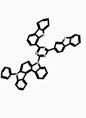 c1ccc(-n2c3ccccc3c3c4c5ccccc5n(-c5nc(-c6ccc7c(c6)oc6ccccc67)nc(-c6cccc7c6sc6ccccc67)n5)c4ccc32)cc1